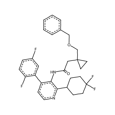 O=C(CC1(COCc2ccccc2)CC1)Nc1c(-c2cc(F)ccc2F)ccnc1C1CCC(F)(F)CC1